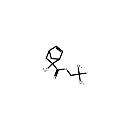 O=C(OCC(F)(C(F)(F)F)C(F)(F)F)C1(C(F)(F)F)CC2C=CC1C2